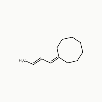 CC=CC=C1CCCCCCC1